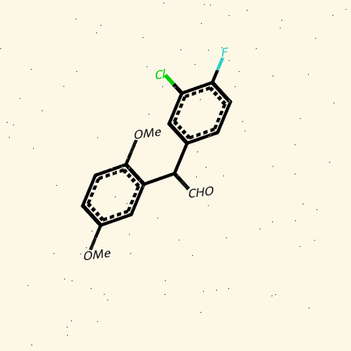 COc1ccc(OC)c(C(C=O)c2ccc(F)c(Cl)c2)c1